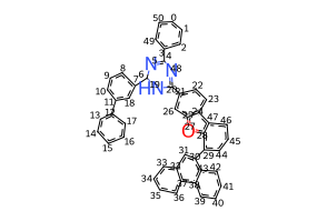 c1ccc(C2=NC(c3cccc(-c4ccccc4)c3)NC(c3ccc4c(c3)oc3c(-c5cc6ccccc6c6ccccc56)cccc34)=N2)cc1